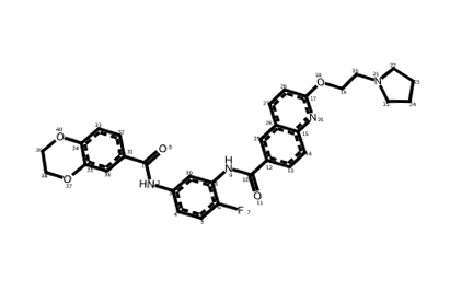 O=C(Nc1ccc(F)c(NC(=O)c2ccc3nc(OCCN4CCCC4)ccc3c2)c1)c1ccc2c(c1)OCCO2